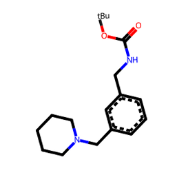 CC(C)(C)OC(=O)NCc1cccc(CN2CCCCC2)c1